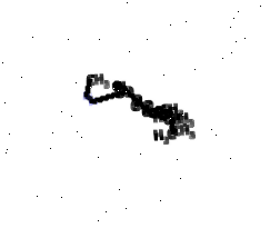 CCCCC/C=C\C/C=C\CCCCCCCCOCC(CN1CCCCC1)OCCCOC(=O)CCC(=O)OC1CCC2(C)C(=CCC3[C@@H]2CC[C@]2(C)[C@@H](C(C)CCCC(C)C)CC[C@@]32C)C1